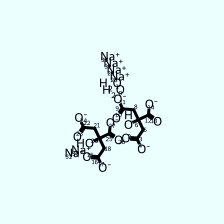 O.O.O=C([O-])CC(O)(CC(=O)[O-])C(=O)[O-].O=C([O-])CC(O)(CC(=O)[O-])C(=O)[O-].[Na+].[Na+].[Na+].[Na+].[Na+].[Na+]